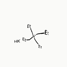 CC[N+](CC)(CC)CC.[KH]